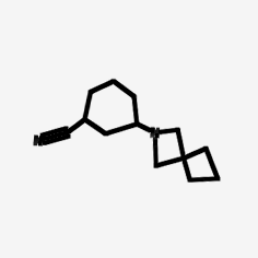 N#CC1CCCC(N2CC3(CCC3)C2)C1